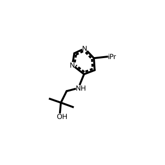 CC(C)c1cc(NCC(C)(C)O)ncn1